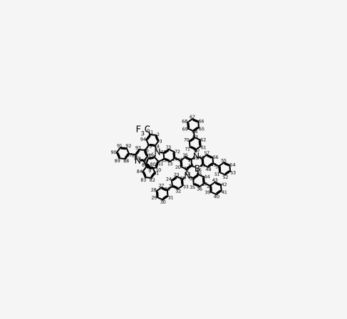 FC(F)(F)c1ccc(-n2c3ccccc3c3cc(-c4cc5c6c(c4)N(c4ccc(-c7ccccc7)cc4)c4ccc(-c7ccccc7)cc4B6c4cc(-c6ccccc6)ccc4N5c4ccc(-c5ccccc5)cc4)ccc32)c(-c2cc(-c3ccccc3)nc(-c3ccccc3)c2)c1